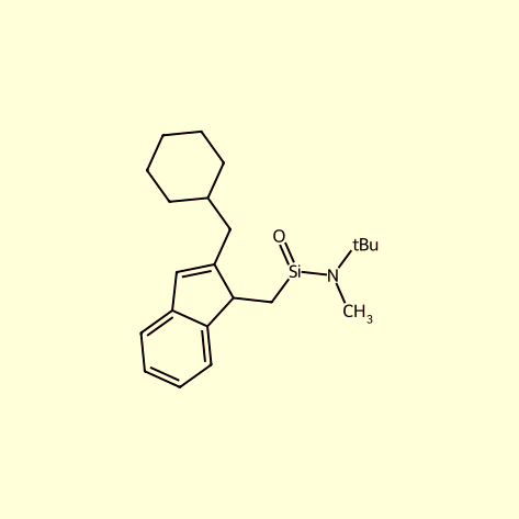 CN([Si](=O)CC1C(CC2CCCCC2)=Cc2ccccc21)C(C)(C)C